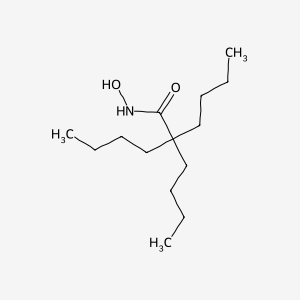 CCCCC(CCCC)(CCCC)C(=O)NO